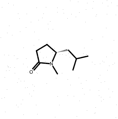 CC(C)C[C@H]1CCC(=O)N1C